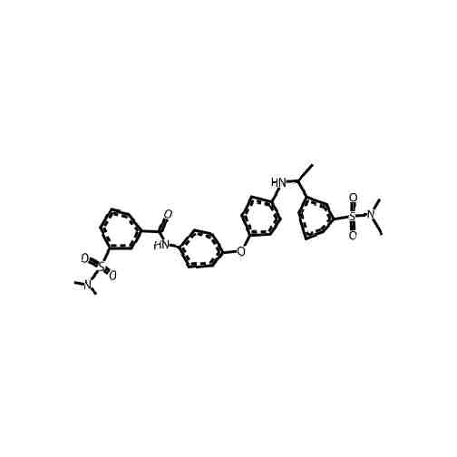 CC(Nc1ccc(Oc2ccc(NC(=O)c3cccc(S(=O)(=O)N(C)C)c3)cc2)cc1)c1cccc(S(=O)(=O)N(C)C)c1